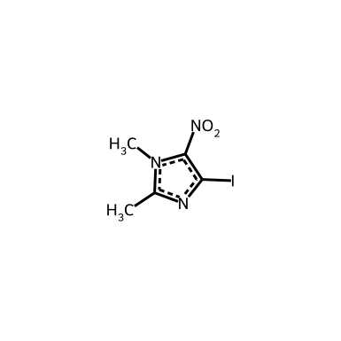 Cc1nc(I)c([N+](=O)[O-])n1C